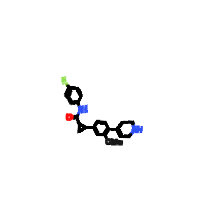 COc1cc(C2CC2C(=O)Nc2ccc(F)cc2)ccc1C1=CCNCC1